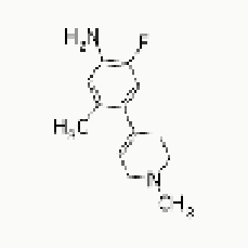 Cc1cc(N)c(F)cc1C1=CCN(C)CC1